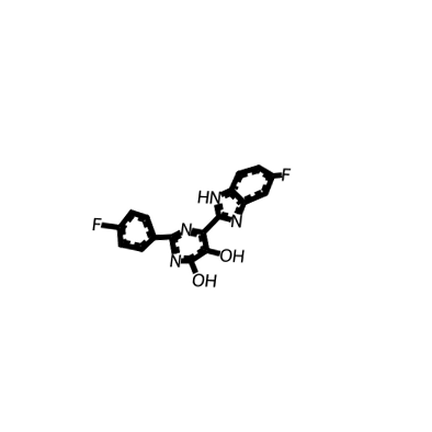 Oc1nc(-c2ccc(F)cc2)nc(-c2nc3cc(F)ccc3[nH]2)c1O